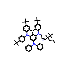 CCCC(C)(/C=C\CN1c2ccc(C(C)(C)C)cc2B2c3cc(C(C)(C)C)ccc3N(c3ccc(C(C)(C)C)cc3)c3cc(N(c4ccccc4)c4ccccc4)cc1c32)C(C)(C)C